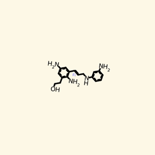 Nc1cccc(NC/C=C/c2cc(N)cc(CCO)c2N)c1